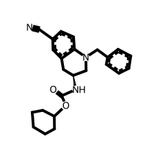 N#Cc1ccc2c(c1)C[C@H](NC(=O)OC1CCCCC1)CN2Cc1ccccc1